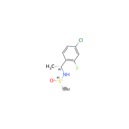 C[C@@H](N[S@@+]([O-])C(C)(C)C)c1ccc(Cl)cc1F